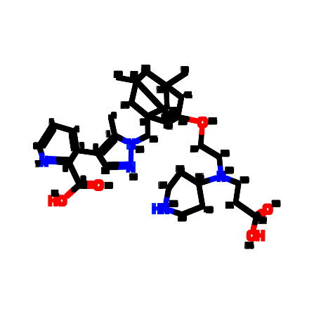 Cc1c(-c2cccnc2C(=O)O)cnn1CC12CC3(C)CC(C)(C1)CC(OCCN(CCC(=O)O)C1CCNCC1)(C3)C2